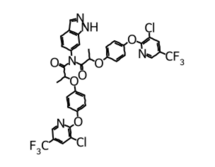 CC(Oc1ccc(Oc2ncc(C(F)(F)F)cc2Cl)cc1)C(=O)N(C(=O)C(C)Oc1ccc(Oc2ncc(C(F)(F)F)cc2Cl)cc1)c1ccc2cn[nH]c2c1